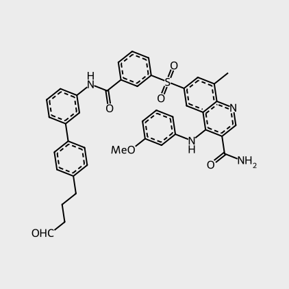 COc1cccc(Nc2c(C(N)=O)cnc3c(C)cc(S(=O)(=O)c4cccc(C(=O)Nc5cccc(-c6ccc(CCCC=O)cc6)c5)c4)cc23)c1